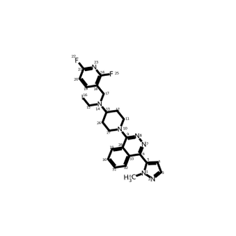 Cn1nccc1-c1nnc(N2CCC(N(CI)Cc3ccc(F)nc3F)CC2)c2ccccc12